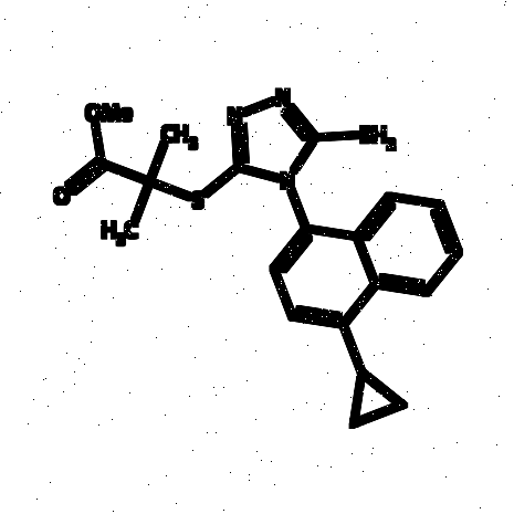 Bc1nnc(SC(C)(C)C(=O)OC)n1-c1ccc(C2CC2)c2ccccc12